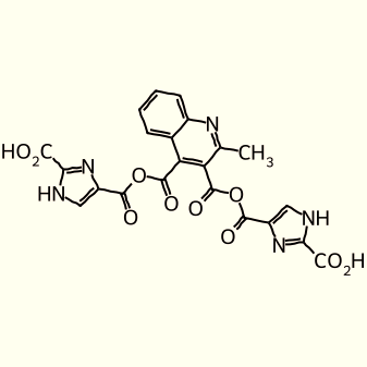 Cc1nc2ccccc2c(C(=O)OC(=O)c2c[nH]c(C(=O)O)n2)c1C(=O)OC(=O)c1c[nH]c(C(=O)O)n1